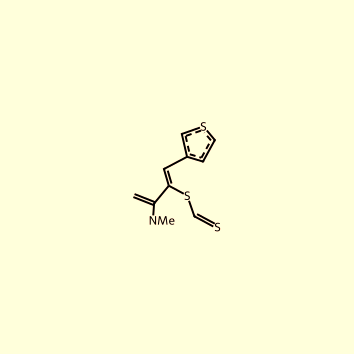 C=C(NC)/C(=C/c1ccsc1)SC=S